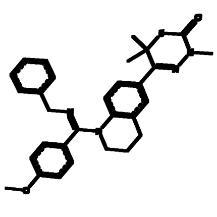 COc1ccc(C(=NCc2ccccc2)N2CCCc3cc(C4=NN(C)C(=O)SC4(C)C)ccc32)cc1